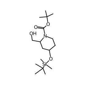 CC(C)(C)OC(=O)N1CCC(O[Si](C)(C)C(C)(C)C)CC1CO